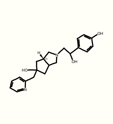 Oc1ccc(C(O)CN2CC3CC(O)(Cc4ccccn4)C[C@@H]3C2)cc1